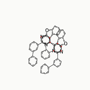 c1ccc(-c2cccc(-c3nc(-c4ccccc4-c4ccccc4-c4ccccc4-c4nc(-c5cccc(-c6ccccc6)c5)nc5oc6ccccc6c45)c4c(n3)oc3ccccc34)c2)cc1